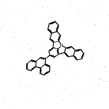 c1ccc2cc3c(cc2c1)c1cc(-c2cc4ccccc4c4ccccc24)cc2c4cc5ccccc5cc4n3c12